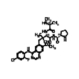 CN[C@@H](C)C(=O)N[C@H](C(=O)NC(=O)[C@@H]1CCCN1)C(C)(C)Cc1cc2c(Nc3ccc(Cl)cc3F)ncnc2cc1OC